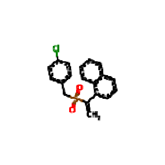 C=C(c1cccc2ccccc12)S(=O)(=O)Cc1ccc(Cl)cc1